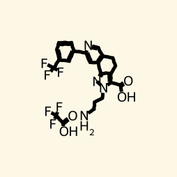 NCCCn1nc2c(c1C(=O)O)CCc1cnc(-c3cccc(C(F)(F)F)c3)cc1-2.O=C(O)C(F)(F)F